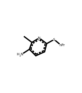 CCCSc1ccc(N)c(C)n1